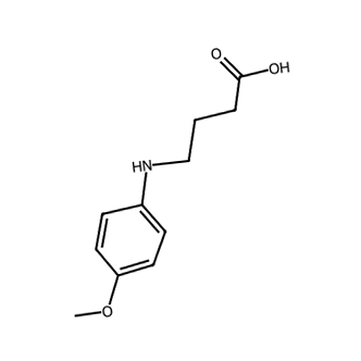 COc1ccc(NCCCC(=O)O)cc1